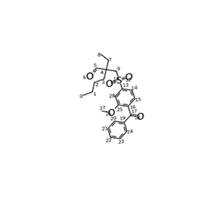 CCCCC(C=O)(CC)CS(=O)(=O)c1ccc(C(=O)c2ccccc2)c(OC)c1